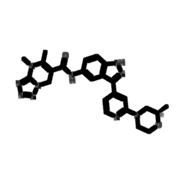 CC1=C(C(=O)Nc2ccc3[nH]nc(-c4ccnc(N5CCO[C@H](C)C5)c4)c3c2)Cn2nnnc2N1C